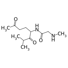 CNCC(=O)NC(CCC(C)=O)C(=O)C(C)C